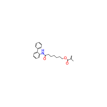 C=C(C)C(=O)OCCCCCCC(=O)Nc1ccccc1-c1ccccc1